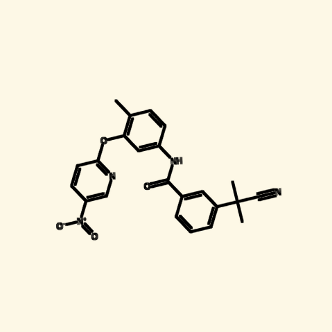 Cc1ccc(NC(=O)c2cccc(C(C)(C)C#N)c2)cc1Oc1ccc([N+](=O)[O-])cn1